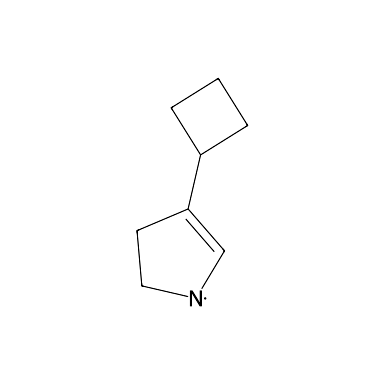 C1=C(C2CCC2)CC[N]1